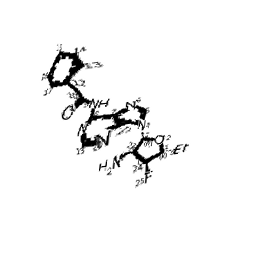 CC[C@H]1O[C@@H](n2cnc3c(NC(=O)c4ccccc4)ncnc32)[C@H](N)[C@@H]1F